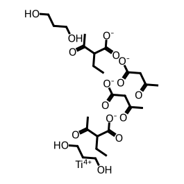 CC(=O)CC(=O)[O-].CC(=O)CC(=O)[O-].CCC(C(C)=O)C(=O)[O-].CCC(C(C)=O)C(=O)[O-].OCCCO.OCCCO.[Ti+4]